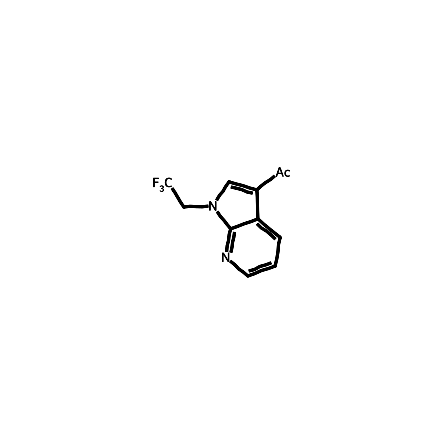 CC(=O)c1cn(CC(F)(F)F)c2ncccc12